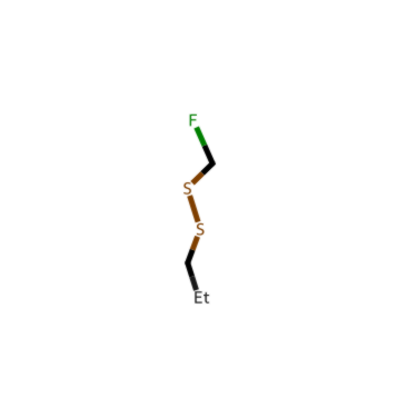 CCCSSCF